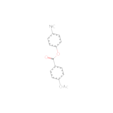 [C-]#[N+]c1ccc(OC(=O)c2ccc(OC(C)=O)cc2)cc1